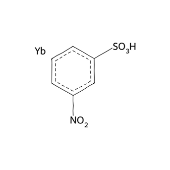 O=[N+]([O-])c1cccc(S(=O)(=O)O)c1.[Yb]